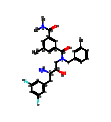 CCc1cccc(CN(C[C@@H](O)[C@@H](N)Cc2cc(F)cc(F)c2)C(=O)c2cc(C)cc(C(=O)N(CC)CC)c2)c1